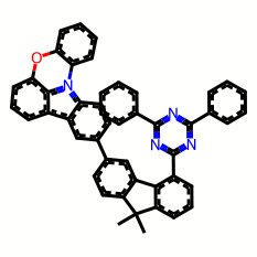 CC1(C)c2ccc(-c3ccc4c(c3)c3cccc5c3n4-c3ccccc3O5)cc2-c2c(-c3nc(-c4ccccc4)nc(-c4ccccc4)n3)cccc21